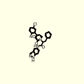 O=C(Nc1ccc2[nH]ncc2c1)C(Cc1ccccc1)n1ccc(-c2cc(Cl)ccc2[N+](=O)[O-])cc1=O